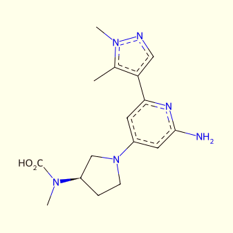 Cc1c(-c2cc(N3CC[C@@H](N(C)C(=O)O)C3)cc(N)n2)cnn1C